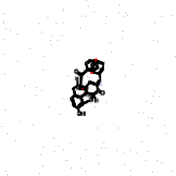 O=C1/C(=C/c2ccccc2)C[C@@]2(O)[C@H]3Cc4ccc(O)c5c4[C@@]2(CCN3C(=O)c2ccccc2)[C@H]1O5